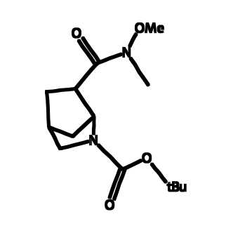 CON(C)C(=O)C1CC2CC1N(C(=O)OC(C)(C)C)C2